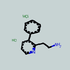 Cl.Cl.NCCc1ncccc1-c1ccccc1